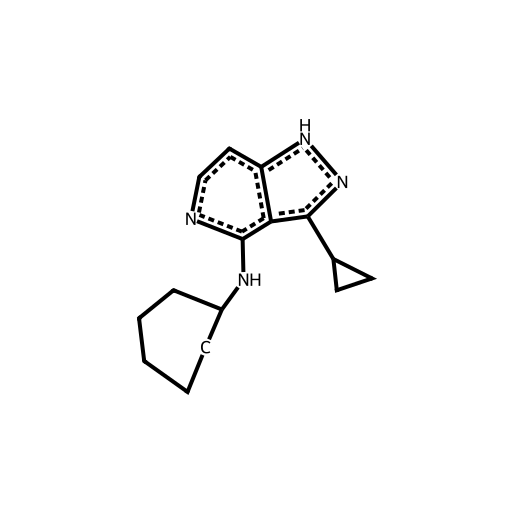 c1cc2[nH]nc(C3CC3)c2c(NC2CCCCC2)n1